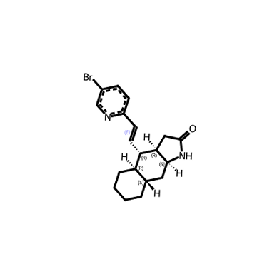 O=C1C[C@@H]2[C@@H](/C=C/c3ccc(Br)cn3)[C@@H]3CCCC[C@H]3C[C@@H]2N1